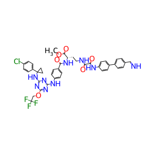 COC(=O)[C@H](CCNC(=O)C(=O)Nc1ccc(-c2ccc(C=N)cc2)cc1)NC(=O)c1ccc(Nc2nc(NC3(c4ccc(Cl)cc4)CC3)nc(OCC(F)(F)F)n2)cc1